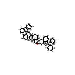 C[C@]12CC[C@H]3[C@@H](CCC4=C[C@@H](O[Si](c5ccccc5)(c5ccccc5)c5ccccc5)CC[C@@]43C=O)[C@@H]1CC[C@@H]2O[Si](c1ccccc1)(c1ccccc1)c1ccccc1